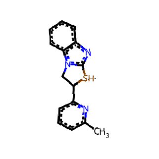 Cc1cccc(C2Cn3c(nc4ccccc43)[SH]2)n1